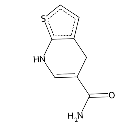 NC(=O)C1=CNc2sccc2C1